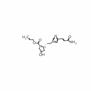 C=CCOC(=O)N1C[C@H](O)C[C@H]1CCn1cnc(C=CC(N)=O)c1